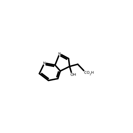 O=C(O)CC1(O)C=Nc2ncccc21